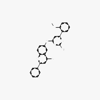 COc1ccccc1-c1cc(Nc2ccc3nc(-c4ccccc4)cc(N)c3c2)nc(N)n1